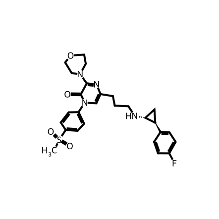 CS(=O)(=O)c1ccc(-n2cc(CCCN[C@@H]3C[C@H]3c3ccc(F)cc3)nc(N3CCOCC3)c2=O)cc1